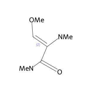 CNC(=O)/C(=C/OC)NC